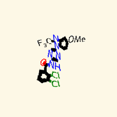 COc1ccc2c(c1)nc(C(F)(F)F)n2-c1cnc(NC(=O)c2cccc(Cl)c2Cl)cn1